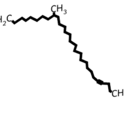 [CH2]CCC#CCCCCCCCCCCCCCCC(C)CCCCCCC[CH2]